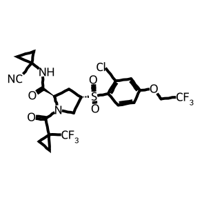 N#CC1(NC(=O)[C@H]2C[C@H](S(=O)(=O)c3ccc(OCC(F)(F)F)cc3Cl)CN2C(=O)C2(C(F)(F)F)CC2)CC1